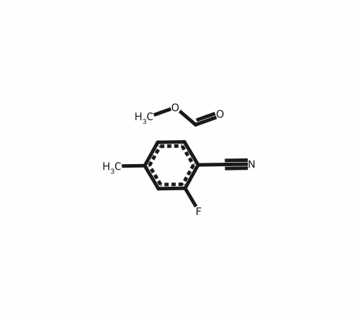 COC=O.Cc1ccc(C#N)c(F)c1